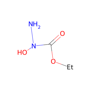 CCOC(=O)N(N)O